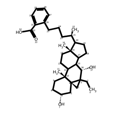 CCC12C[C@]13C[C@H](O)CC[C@]3(C)C1CC[C@@]3(C)C(CCC3[C@H](C)CCCc3ccccc3C(=O)O)C1[C@@H]2O